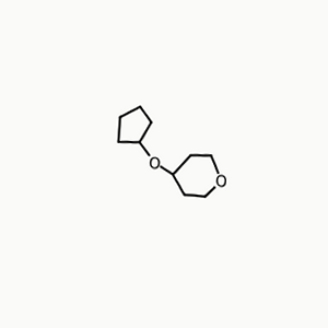 C1CCC(OC2CCOCC2)C1